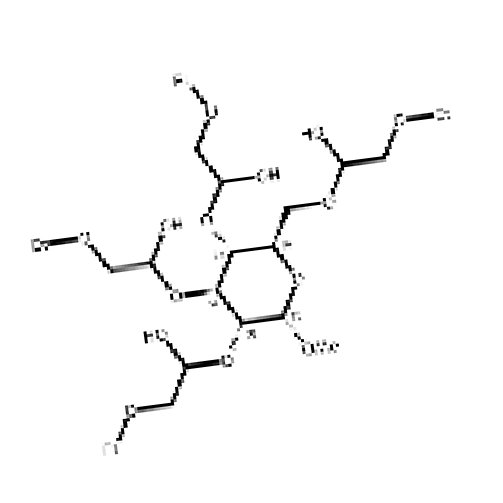 CCOCC(O)OC[C@H]1O[C@H](OC)[C@H](OC(O)COCC)[C@@H](OC(O)COCC)[C@@H]1OC(O)COCC